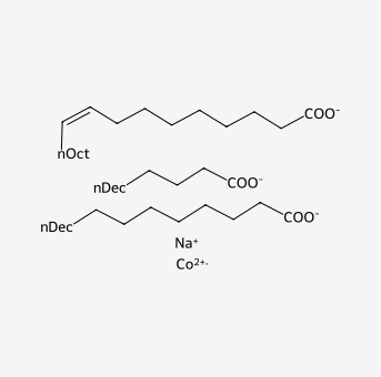 CCCCCCCC/C=C\CCCCCCCC(=O)[O-].CCCCCCCCCCCCCC(=O)[O-].CCCCCCCCCCCCCCCCCC(=O)[O-].[Co+2].[Na+]